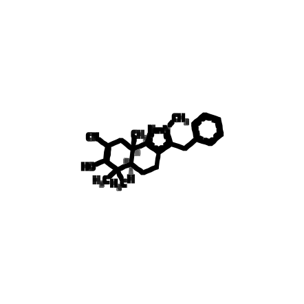 [C-]#[N+]C1=C(O)C(C)(C)[C@@H]2CCc3c(nn(C)c3Cc3ccccc3)[C@@]2(C)C1